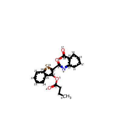 CCCC(=O)Oc1c(-c2nc3ccccc3c(=O)o2)sc2ccccc12